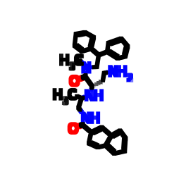 CC(CNC(=O)c1ccc2ccccc2c1)N[C@@H](CCN)C(=O)N(C)CC(c1ccccc1)c1ccccc1